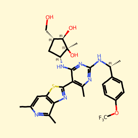 Cc1cc2sc(-c3c(C)nc(N[C@H](C)c4ccc(OC(F)(F)F)cc4)nc3N[C@@H]3C[C@H](CO)[C@@H](O)[C@@]3(C)O)nc2c(C)n1